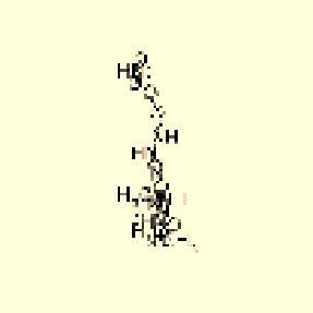 COc1cc(N2CCC(NCCNCCC3CCN(c4ccc(C5CCC(=O)NC5=O)cc4)CC3)CC2)ccc1Nc1ncc(Cl)c(Nc2ccccc2P(C)(C)=O)n1